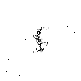 NC(=O)c1nn[nH]c1SCC1=C(C(=O)O)N2C(=O)C(NC(=O)C(N)c3ccc(NCC(=O)O)cc3)[C@H]2SC1